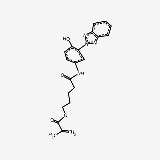 C=C(C)C(=O)OCCCCC(=O)Nc1ccc(O)c(-n2nc3ccccc3n2)c1